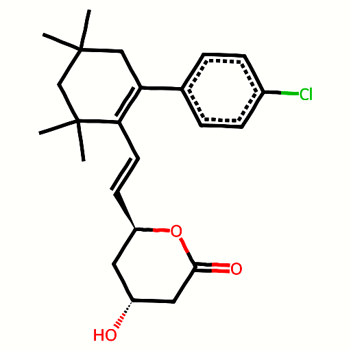 CC1(C)CC(c2ccc(Cl)cc2)=C(/C=C/[C@@H]2C[C@@H](O)CC(=O)O2)C(C)(C)C1